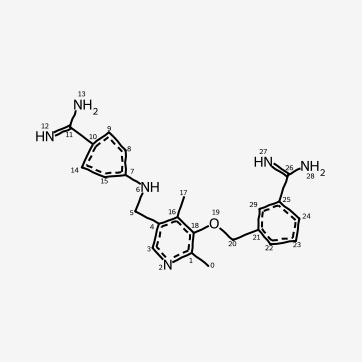 Cc1ncc(CNc2ccc(C(=N)N)cc2)c(C)c1OCc1cccc(C(=N)N)c1